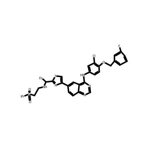 CCC(NCCS(=O)(=O)C(C)C)c1nc(-c2ccc3ncnc(Nc4ccc(OCc5cccc(F)c5)c(Cl)c4)c3c2)cs1